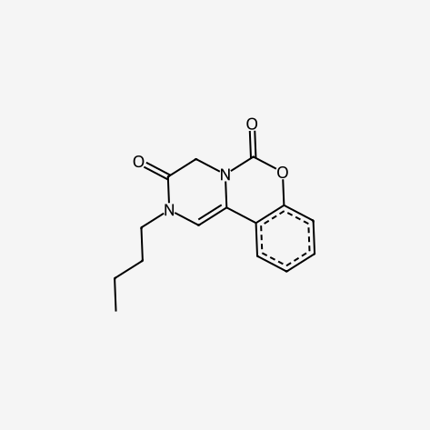 CCCCN1C=C2c3ccccc3OC(=O)N2CC1=O